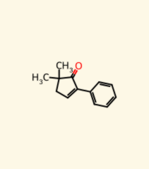 CC1(C)CC=C(c2ccccc2)C1=O